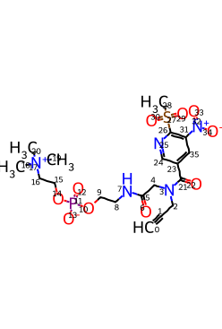 C#CCN(CC(=O)NCCOP(=O)([O-])OCC[N+](C)(C)C)C(=O)c1cnc(S(C)(=O)=O)c([N+](=O)[O-])c1